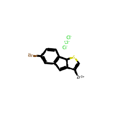 Brc1ccc2c(c1)C=C1[C]([Zr+3])=CSC12.[Cl-].[Cl-].[Cl-]